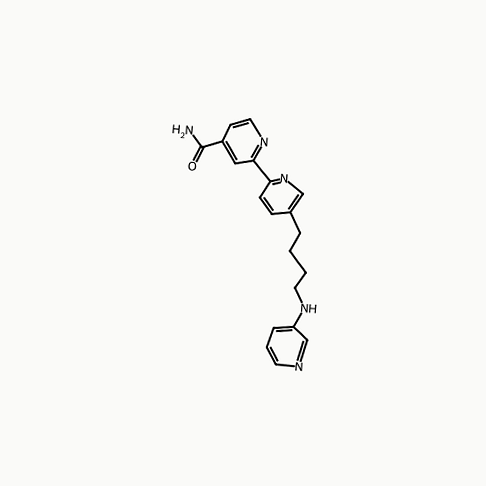 NC(=O)c1ccnc(-c2ccc(CCCCNc3cccnc3)cn2)c1